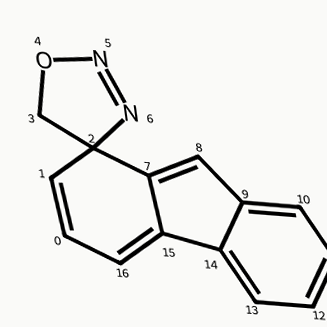 C1=CC2(CON=N2)C2=Cc3ccccc3C2=C1